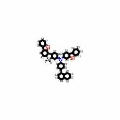 C[Si]1(C)c2cc(N(c3ccc(-c4cccc5ccccc45)cc3)c3ccc4c(c3)oc3ccccc34)ccc2-c2c1ccc1c2oc2ccccc21